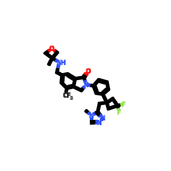 Cn1cnnc1CC1(c2cccc(N3Cc4c(cc(CNC5(C)COC5)cc4C(F)(F)F)C3=O)c2)CC(F)(F)C1